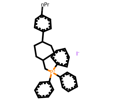 CCCc1ccc(C2CCC(C[P+](c3ccccc3)(c3ccccc3)c3ccccc3)CC2)cc1.[I-]